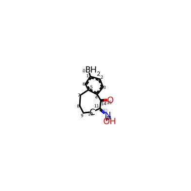 Bc1ccc2c(c1)CCCC/C(=N\O)C2=O